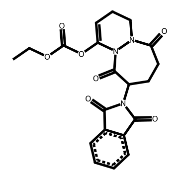 CCOC(=O)OC1=CCCN2C(=O)CCC(N3C(=O)c4ccccc4C3=O)C(=O)N12